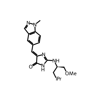 COC[C@@H](CC(C)C)NC1=N/C(=C\c2ccc3c(cnn3C)c2)C(=O)N1